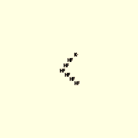 F.F.F.F.F.F.[K]